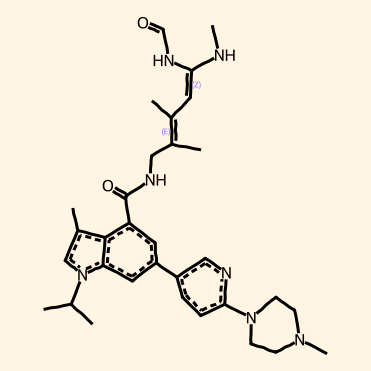 CN/C(=C/C(C)=C(\C)CNC(=O)c1cc(-c2ccc(N3CCN(C)CC3)nc2)cc2c1c(C)cn2C(C)C)NC=O